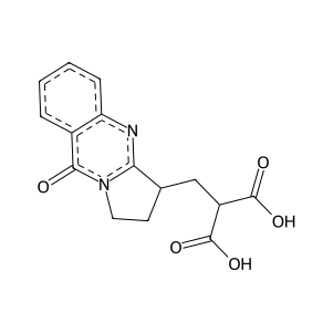 O=C(O)C(CC1CCn2c1nc1ccccc1c2=O)C(=O)O